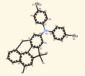 Cc1cc2c3c4c(cccc14)Cc1cc(N(c4ccc(C(C)(C)C)cc4)c4ccc(C(C)(C)C)cc4)cc(c1-3)C2(C)C